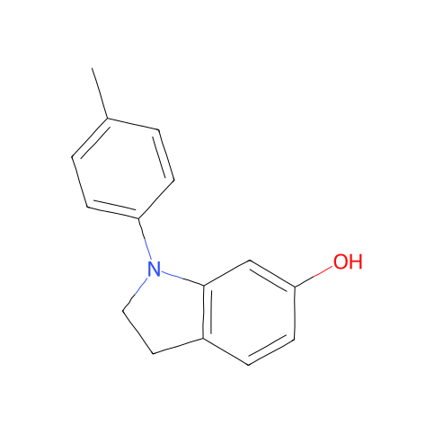 Cc1ccc(N2CCc3ccc(O)cc32)cc1